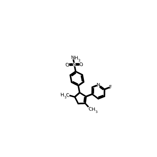 CC1=C(c2ccc(F)nc2)C(c2ccc(S(N)(=O)=O)cc2)C(C)C1